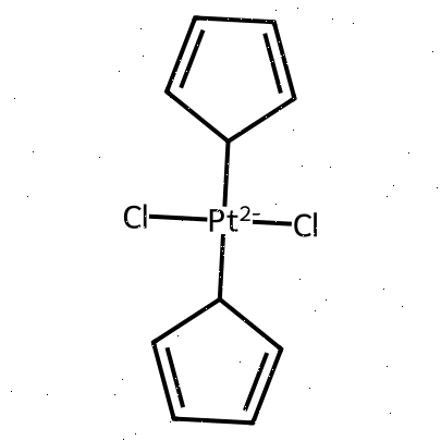 [Cl][Pt-2]([Cl])([CH]1C=CC=C1)[CH]1C=CC=C1